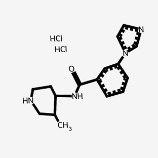 CC1CNCCC1NC(=O)c1cccc(-n2ccnc2)c1.Cl.Cl